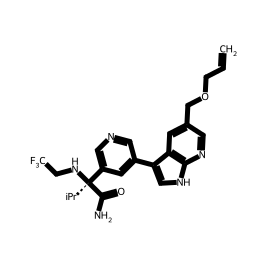 C=CCOCc1cnc2[nH]cc(-c3cncc([C@](NCC(F)(F)F)(C(N)=O)C(C)C)c3)c2c1